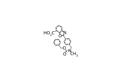 CN(Cc1ccc(-c2nc3cccc(C(=O)O)c3o2)cc1)C(=O)OCc1ccccc1